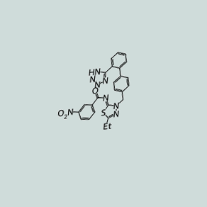 CCc1nn(Cc2ccc(-c3ccccc3-c3nnn[nH]3)cc2)c(=NC(=O)c2cccc([N+](=O)[O-])c2)s1